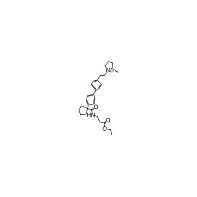 CCOC(=O)CCNC(=O)C1(c2ccc(-c3ccc(CCN4CCC[C@H]4C)cc3)cc2)CCCC1